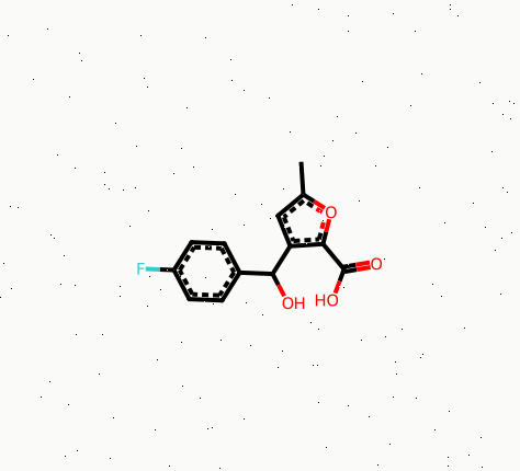 Cc1cc(C(O)c2ccc(F)cc2)c(C(=O)O)o1